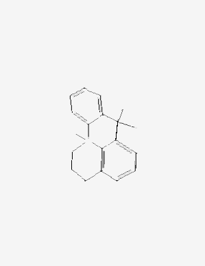 CC1(C)c2ccccc2[Si]2(C)CCCc3cccc1c32